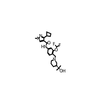 Cn1cc(C(=O)Nc2ccc(CN3CCC[C@H](C(C)(C)O)C3)c(OC(F)F)c2)c(C2CCC2)n1